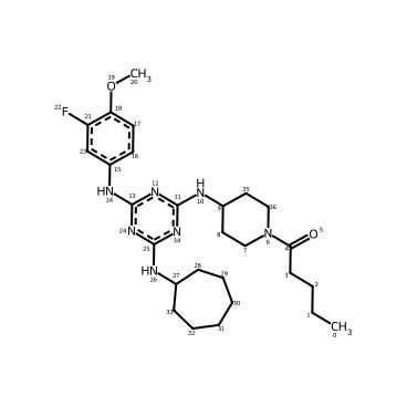 CCCCC(=O)N1CCC(Nc2nc(Nc3ccc(OC)c(F)c3)nc(NC3CCCCCC3)n2)CC1